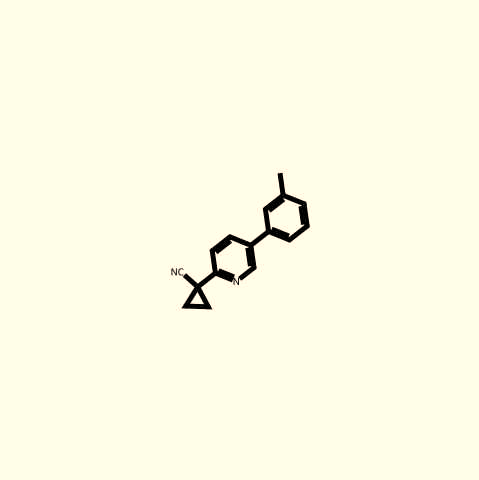 Cc1cccc(-c2ccc(C3(C#N)CC3)nc2)c1